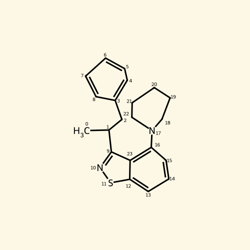 CC(Cc1ccccc1)c1nsc2cccc(N3CCCCC3)c12